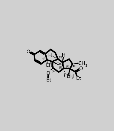 CCO[C@H]1C[C@@]2(C)[C@@H](C[C@@H](C)[C@]2(O)C(=O)CC)[C@@H]2CCC3=CC(=O)C=C[C@]3(C)[C@@]12F